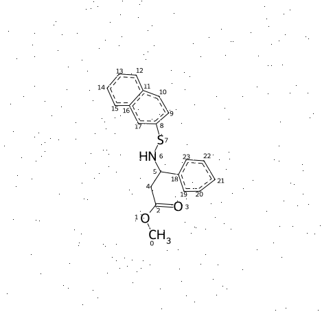 COC(=O)CC(NSc1ccc2ccccc2c1)c1ccccc1